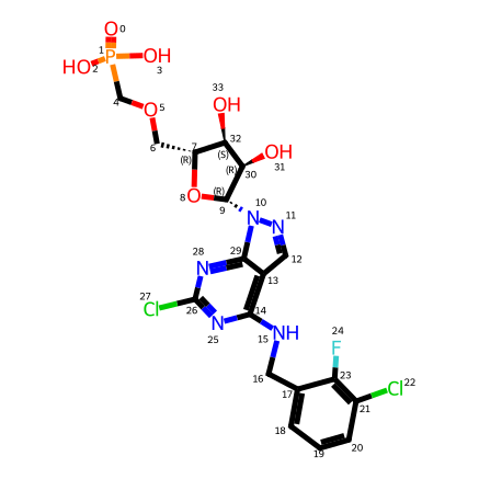 O=P(O)(O)COC[C@H]1O[C@@H](n2ncc3c(NCc4cccc(Cl)c4F)nc(Cl)nc32)[C@H](O)[C@@H]1O